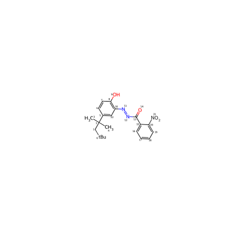 CC(C)(C)CC(C)(C)c1ccc(O)c(N=NC(=O)c2ccccc2[N+](=O)[O-])c1